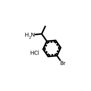 CC(N)c1ccc(Br)cc1.Cl